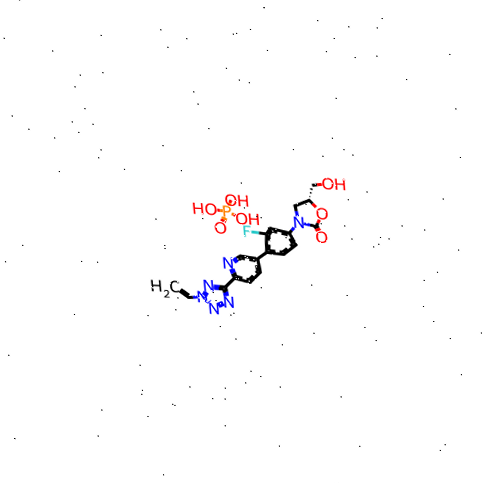 C=Cn1nnc(-c2ccc(-c3ccc(N4C[C@H](CO)OC4=O)cc3F)cn2)n1.O=P(O)(O)O